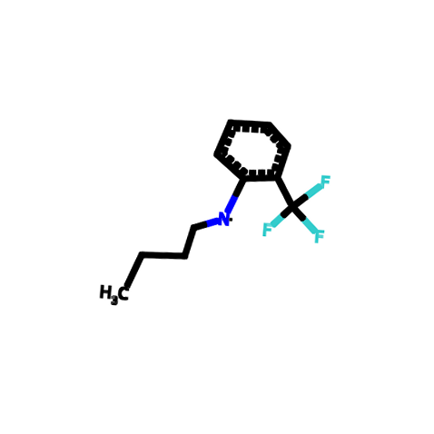 CCCC[N]c1ccccc1C(F)(F)F